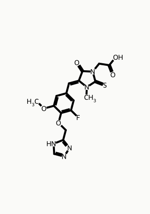 COc1cc(C=C2C(=O)N(CC(=O)O)C(=S)N2C)cc(F)c1OCc1nnc[nH]1